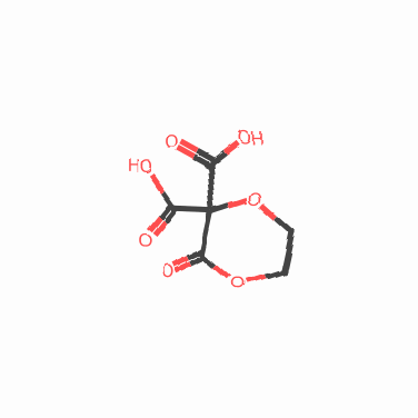 O=C(O)C1(C(=O)O)OCCOC1=O